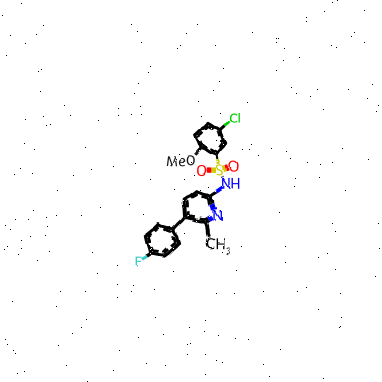 COc1ccc(Cl)cc1S(=O)(=O)Nc1ccc(-c2ccc(F)cc2)c(C)n1